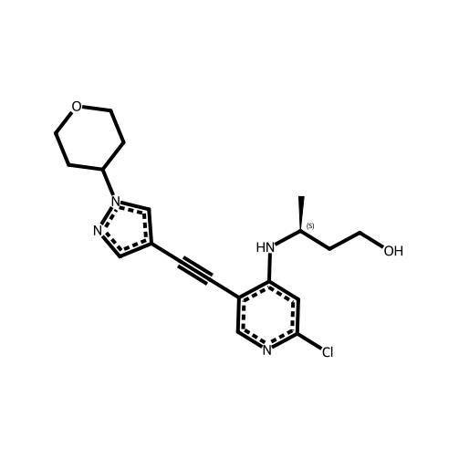 C[C@@H](CCO)Nc1cc(Cl)ncc1C#Cc1cnn(C2CCOCC2)c1